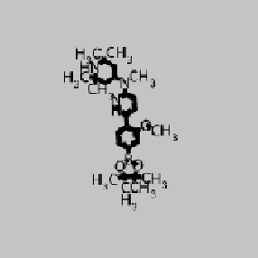 COc1cc(B2OC(C)(C)C(C)(C)O2)ccc1-c1ccc(N(C)C2CC(C)(C)NC(C)(C)C2)nn1